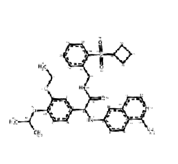 CCOc1cc(C(Nc2ccc3c(N)nccc3c2)C(=O)NCc2ccccc2S(=O)(=O)C2CCC2)ccc1OC(C)C